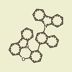 c1cc2c(c(-c3ccc(-n4c5ccccc5c5ccccc54)c4ccccc34)c1)-n1c3ccccc3c3cccc(c31)O2